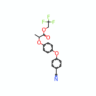 CC(Oc1ccc(Oc2ccc(C#N)cc2)cc1)C(=O)OCC(F)(F)F